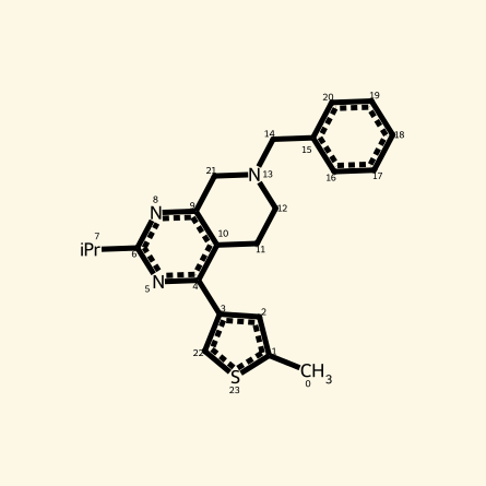 Cc1cc(-c2nc(C(C)C)nc3c2CCN(Cc2ccccc2)C3)cs1